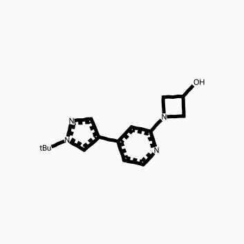 CC(C)(C)n1cc(-c2ccnc(N3CC(O)C3)c2)cn1